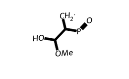 [CH2]C(P=O)C(O)OC